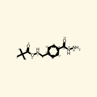 CC(C)(C)C(=O)ONCc1ccc(C(=O)NN)cc1